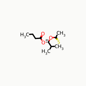 CCCC(=O)O[C@H](OC(C)=S)C(C)C